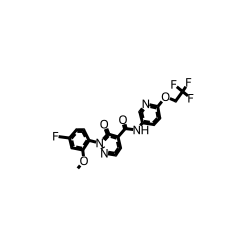 COc1cc(F)ccc1-n1nccc(C(=O)Nc2ccc(OCC(F)(F)F)nc2)c1=O